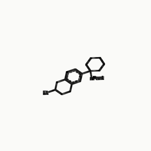 CCCCCC1(c2ccc3c(c2)CCC(CC)C3)CCCCC1